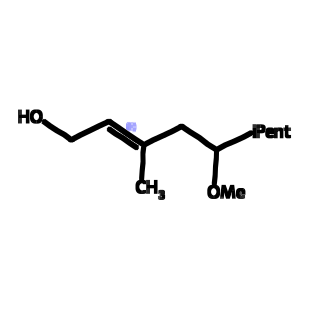 CCCC(C)C(C/C(C)=C/CO)OC